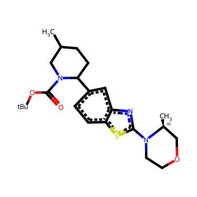 CC1CCC(c2ccc3sc(N4CCOC[C@@H]4C)nc3c2)N(C(=O)OC(C)(C)C)C1